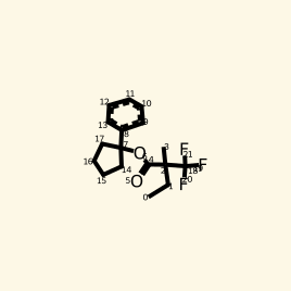 CCC(C)(C(=O)OC1(c2ccccc2)CCCC1)C(F)(F)F